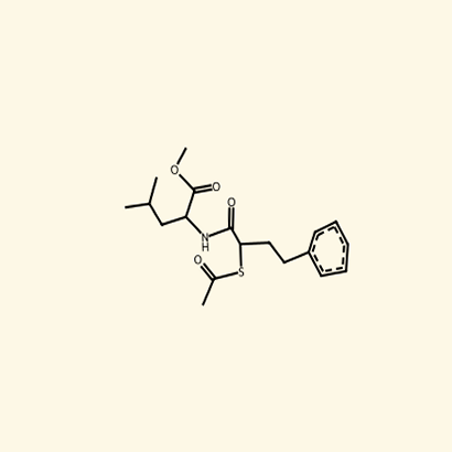 COC(=O)C(CC(C)C)NC(=O)C(CCc1ccccc1)SC(C)=O